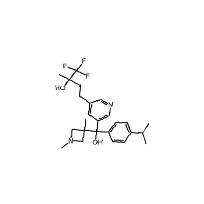 CC(C)c1ccc(C(O)(c2cncc(CCC(C)(O)C(F)(F)F)c2)C2(C)CN(C)C2)cc1